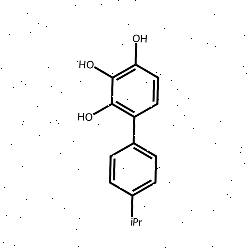 CC(C)c1ccc(-c2ccc(O)c(O)c2O)cc1